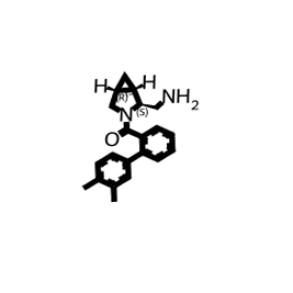 Cc1ccc(-c2ccccc2C(=O)N2C[C@@H]3C[C@@H]3[C@H]2CN)cc1C